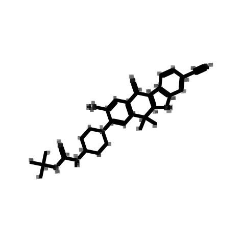 Bc1cc2c(cc1N1CCC(NC(=O)OC(C)(C)C)CC1)C(C)(C)c1[nH]c3cc(C#N)ccc3c1C2=O